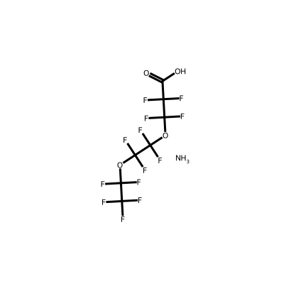 N.O=C(O)C(F)(F)C(F)(F)OC(F)(F)C(F)(F)OC(F)(F)C(F)(F)F